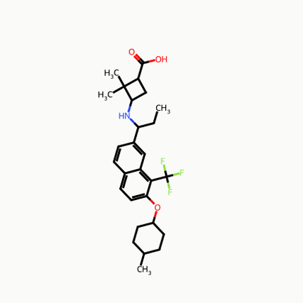 CCC(NC1CC(C(=O)O)C1(C)C)c1ccc2ccc(OC3CCC(C)CC3)c(C(F)(F)F)c2c1